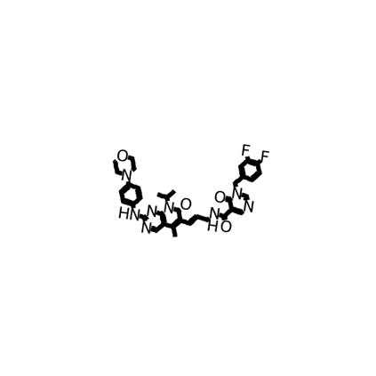 Cc1c(/C=C/CNC(=O)c2cncn(Cc3ccc(F)c(F)c3)c2=O)c(=O)n(C(C)C)c2nc(Nc3ccc(N4CCOCC4)cc3)ncc12